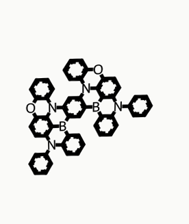 c1ccc(N2c3ccccc3B3c4cc5c(cc4N4c6ccccc6Oc6ccc2c3c64)N2c3ccccc3Oc3ccc4c(c32)B5c2ccccc2N4c2ccccc2)cc1